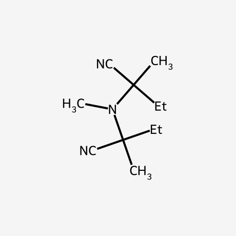 CCC(C)(C#N)N(C)C(C)(C#N)CC